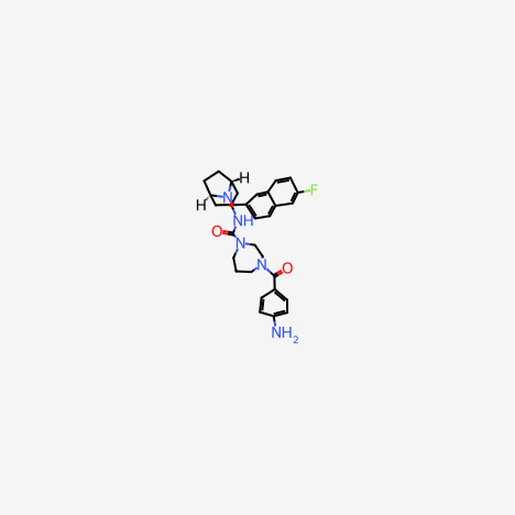 Nc1ccc(C(=O)N2CCCN(C(=O)NC3C[C@H]4CC[C@H](C3)N4Cc3ccc4cc(F)ccc4c3)CC2)cc1